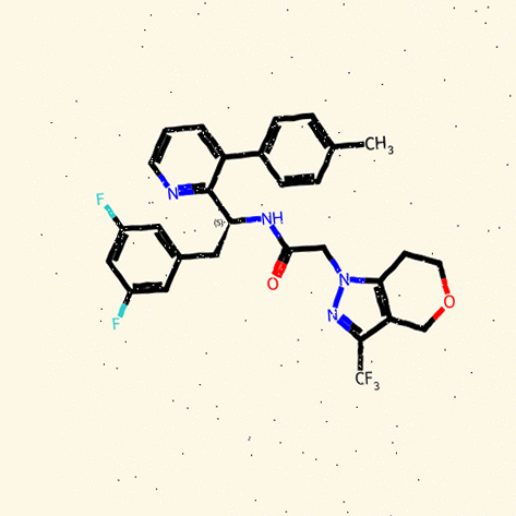 Cc1ccc(-c2cccnc2[C@H](Cc2cc(F)cc(F)c2)NC(=O)Cn2nc(C(F)(F)F)c3c2CCOC3)cc1